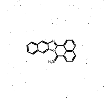 [SiH2]=c1c2cccc3cccc(c32)c2nc3cc4ccccc4cc3n12